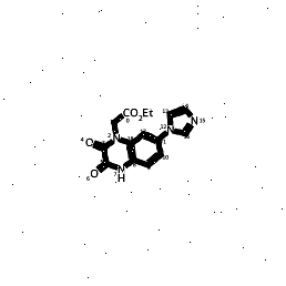 CCOC(=O)Cn1c(=O)c(=O)[nH]c2ccc(-n3ccnc3)cc21